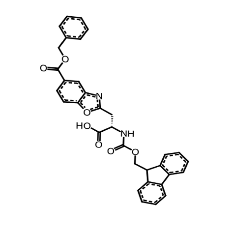 O=C(N[C@@H](Cc1nc2cc(C(=O)OCc3ccccc3)ccc2o1)C(=O)O)OCC1c2ccccc2-c2ccccc21